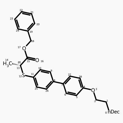 CCCCCCCCCCCCOc1ccc(-c2ccc(S[C@H](C)C(=O)OCc3ccccc3)cc2)cc1